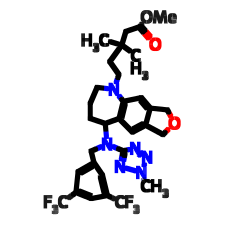 COC(=O)CC(C)(C)CCN1CCCC(N(Cc2cc(C(F)(F)F)cc(C(F)(F)F)c2)c2nnn(C)n2)c2cc3c(cc21)COC3